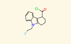 O=C(Cl)C1CCCc2c1c1ccccc1n2CCF